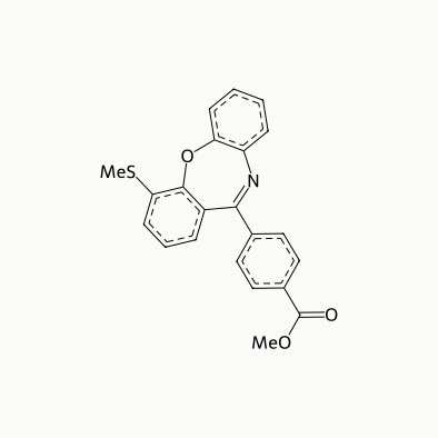 COC(=O)c1ccc(C2=Nc3ccccc3Oc3c(SC)cccc32)cc1